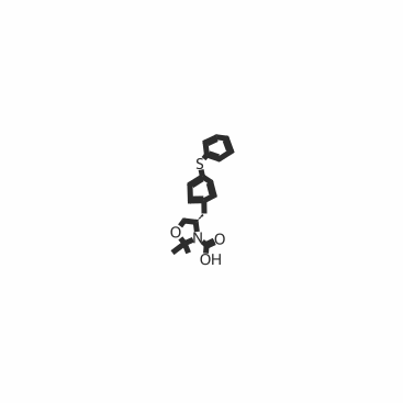 CC1(C)OC[C@H](Cc2ccc(Sc3ccccc3)cc2)N1C(=O)O